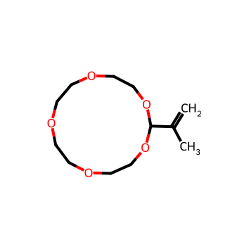 C=C(C)C1OCCOCCOCCOCCO1